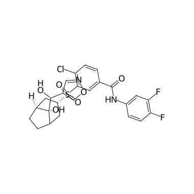 O=C(Nc1ccc(F)c(F)c1)c1ccc(Cl)c(S(=O)(=O)[C@@H]2CC3CC[C@@H](C2)[C@@]3(O)C(O)c2cnoc2)c1